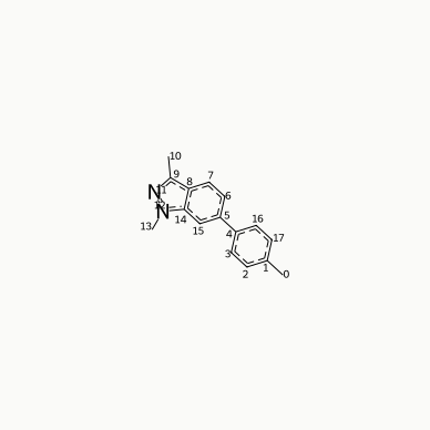 Cc1ccc(-c2ccc3c(C)nn(C)c3c2)cc1